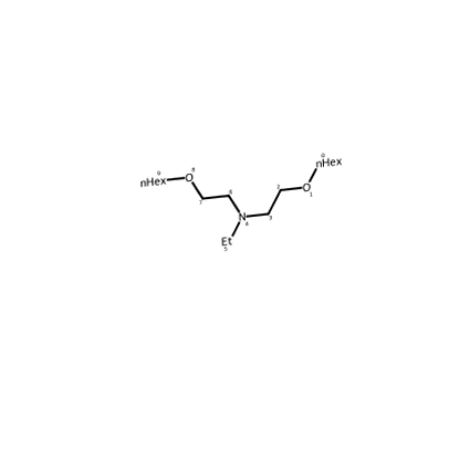 CCCCCCOCCN(CC)CCOCCCCCC